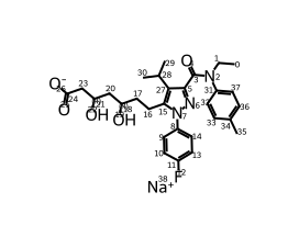 CCN(C(=O)c1nn(-c2ccc(F)cc2)c(CC[C@@H](O)C[C@@H](O)CC(=O)[O-])c1C(C)C)c1ccc(C)cc1.[Na+]